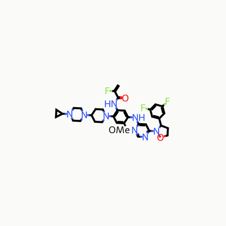 C=C(F)C(=O)Nc1cc(Nc2cc(N3OCCC3c3cc(F)cc(F)c3)ncn2)c(OC)cc1N1CCC(N2CCN(C3CC3)CC2)CC1